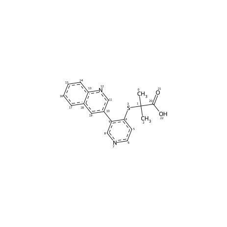 CC(C)(Sc1ccncc1-c1cnc2ccccc2c1)C(=O)O